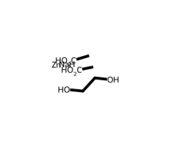 CC(=O)O.CC(=O)O.OCCO.[NaH].[Zn]